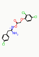 N/C(Cc1ccc(Cl)cc1)=N\OC(=O)COc1ccc(Cl)cc1Cl